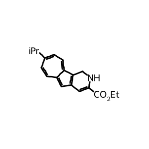 CCOC(=O)C1=Cc2cc3ccc(C(C)C)ccc-3c2CN1